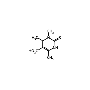 CC1=C(C(=O)O)C(C)N(C)C(=S)N1